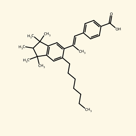 CCCCCCCc1cc2c(cc1/C(C)=C/c1ccc(C(=O)O)cc1)C(C)(C)C(C)C2(C)C